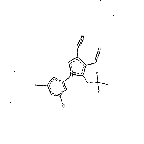 CC(F)(F)Cc1c(C=O)c(C#N)cn1-c1cc(F)cc(Cl)c1